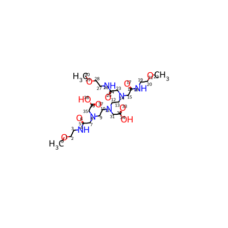 COCCNC(=O)CN(CCN(CCN(CC(=O)NCCOC)CC(=O)NCCOC)CC(=O)O)CC(=O)O